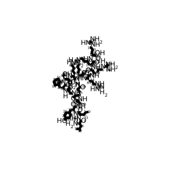 CC[C@H](C)[C@H](NC(=O)[C@@H](N)CC(C)C)C(=O)N[C@@H](Cc1ccc(O)cc1)C(=O)N[C@@H](C)C(=O)N[C@@H](CCC(N)=O)C(=O)NCC(=O)N[C@@H](Cc1ccccc1)C(=O)N[C@@H](CO)C(=O)N[C@@H](CCCCN)C(=O)N[C@@H](CCCCN)C(=O)N[C@@H](CCCNC(=N)N)C(=O)N[C@@H](CCCNC(=N)N)C(=O)N[C@@H](CCCCN)C(=O)N[C@@H](CCCNC(=N)N)C(=O)O